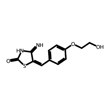 N=C1NC(=O)SC1=Cc1ccc(OCCO)cc1